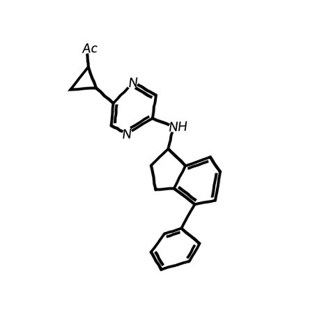 CC(=O)C1CC1c1cnc(NC2CCc3c(-c4ccccc4)cccc32)cn1